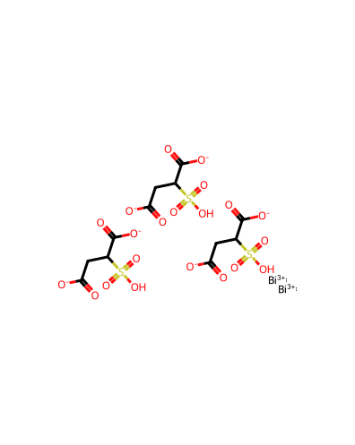 O=C([O-])CC(C(=O)[O-])S(=O)(=O)O.O=C([O-])CC(C(=O)[O-])S(=O)(=O)O.O=C([O-])CC(C(=O)[O-])S(=O)(=O)O.[Bi+3].[Bi+3]